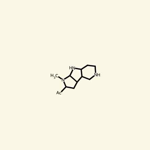 CC(=O)C1CC2C3CNCCC3NC2N1C